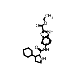 CCOC(=O)c1nc2cc(NC(=O)[C@H]3NCCC3C3CCCCC3)ccc2[nH]1